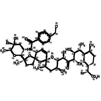 CC[C@@H](C(=O)[C@@H](C)[C@@H](O)[C@H](C)[C@@H]1O[C@@H]([C@@H](CC)C(=O)O)CC[C@@H]1C)[C@H]1O[C@]2(C=C[C@@H](NC(=O)c3ccc(CCl)cc3)[C@]3(CC[C@@](C)([C@H]4CC[C@](O)(CC)[C@H](C)O4)O3)O2)[C@H](C)C[C@@H]1C